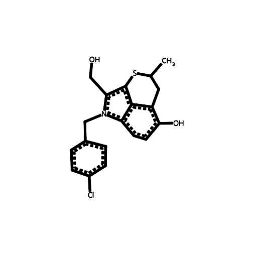 CC1Cc2c(O)ccc3c2c(c(CO)n3Cc2ccc(Cl)cc2)S1